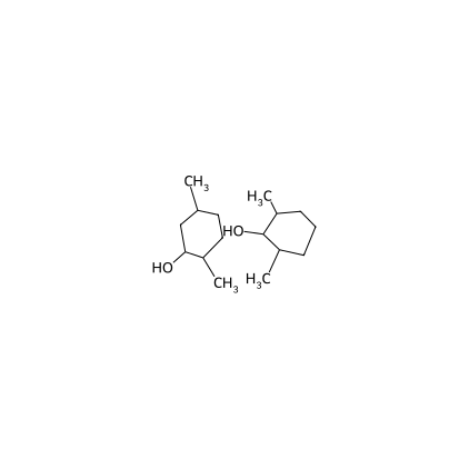 CC1CCC(C)C(O)C1.CC1CCCC(C)C1O